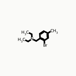 CCN(CC)Cc1ccc(C)cc1Br